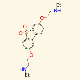 CCNCCOc1ccc2c(c1)-c1ccc(OCCNCC)cc1S2(=O)=O